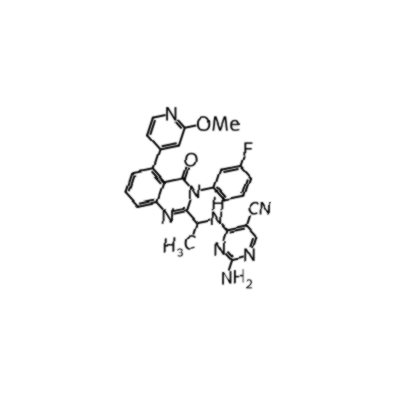 COc1cc(-c2cccc3nc(C(C)Nc4nc(N)ncc4C#N)n(-c4cccc(F)c4)c(=O)c23)ccn1